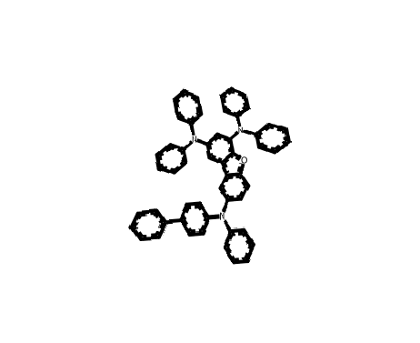 c1ccc(-c2ccc(N(c3ccccc3)c3ccc4oc5c(N(c6ccccc6)c6ccccc6)cc(N(c6ccccc6)c6ccccc6)cc5c4c3)cc2)cc1